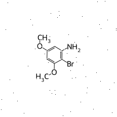 COc1cc(N)c(Br)c(OC)c1